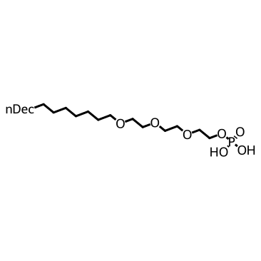 CCCCCCCCCCCCCCCCCOCCOCCOCCOP(=O)(O)O